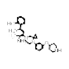 NC(N)=C(/C=C(\N)c1ccccc1O)N1CCN(c2cccc(OC3CCNCC3)c2)C2(CC2)C1